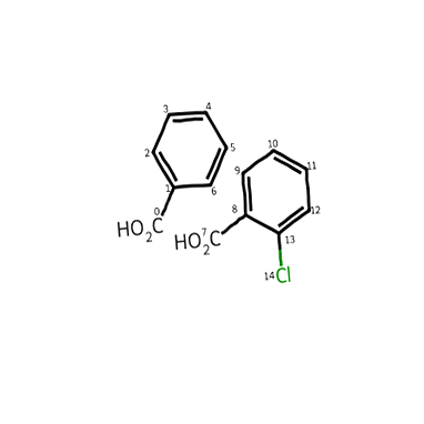 O=C(O)c1ccccc1.O=C(O)c1ccccc1Cl